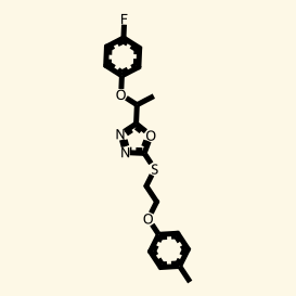 Cc1ccc(OCCSc2nnc(C(C)Oc3ccc(F)cc3)o2)cc1